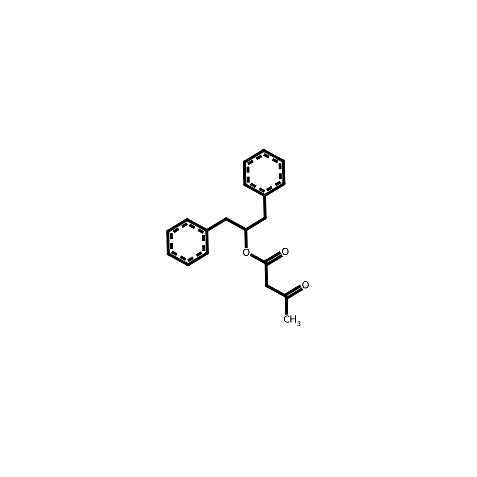 CC(=O)CC(=O)OC(Cc1ccccc1)Cc1ccccc1